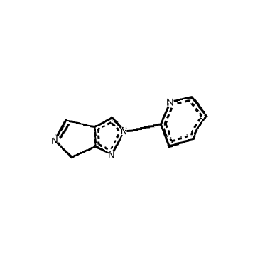 C1=NCc2nn(-c3ccccn3)cc21